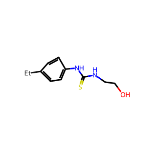 CCc1ccc(NC(=S)NCCO)cc1